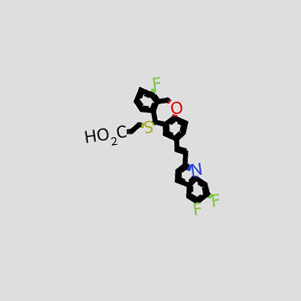 O=C(O)CCSC1c2cc(/C=C/c3ccc4cc(F)c(F)cc4n3)ccc2OCc2c(F)cccc21